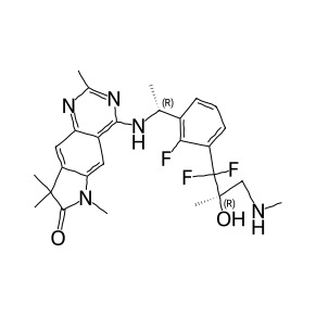 CNC[C@@](C)(O)C(F)(F)c1cccc([C@@H](C)Nc2nc(C)nc3cc4c(cc23)N(C)C(=O)C4(C)C)c1F